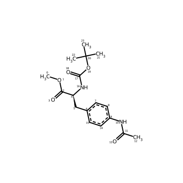 COC(=O)[C@H](Cc1ccc(NC(C)=O)cc1)NC(=O)OC(C)(C)C